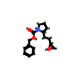 O=C(OCc1ccccc1)N1CCCC1CCC1CO1